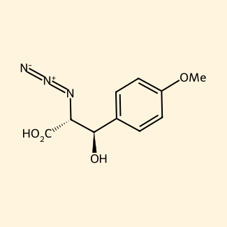 COc1ccc([C@@H](O)[C@@H](N=[N+]=[N-])C(=O)O)cc1